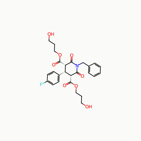 O=C(OCCCO)[C@@H]1C(=O)N(Cc2ccccc2)C(=O)[C@H](C(=O)OCCCO)[C@@H]1c1ccc(F)cc1